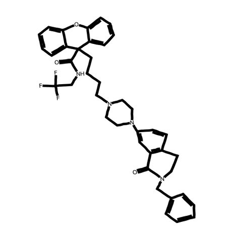 O=C1c2cc(N3CCN(CCCCC4(C(=O)NCC(F)(F)F)c5ccccc5Oc5ccccc54)CC3)ccc2CCN1Cc1ccccc1